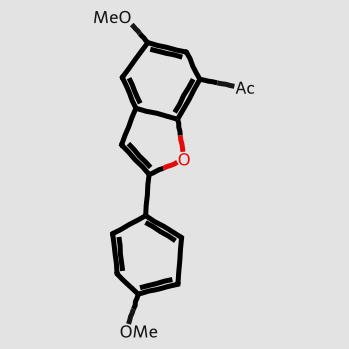 COc1ccc(-c2cc3cc(OC)cc(C(C)=O)c3o2)cc1